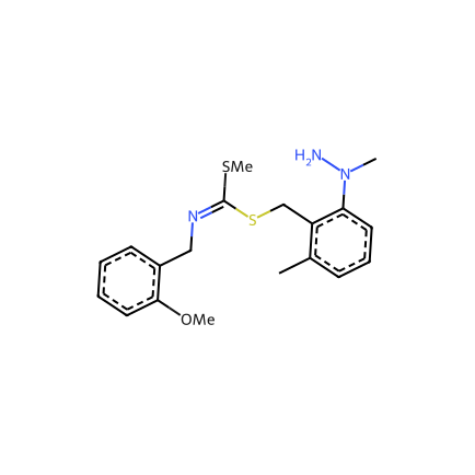 COc1ccccc1CN=C(SC)SCc1c(C)cccc1N(C)N